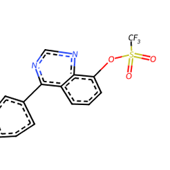 O=S(=O)(Oc1cccc2c(-c3ccccc3)ncnc12)C(F)(F)F